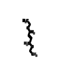 CCO[SiH2]C=C[SiH2]OCC